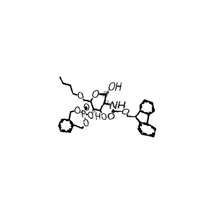 CCCCOCC1O[C@@H](O)[C@@H](NC(=O)OCC2c3ccccc3-c3ccccc32)C(O)[C@@H]1OP1(=O)OCc2ccccc2CO1